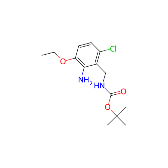 CCOc1ccc(Cl)c(CNC(=O)OC(C)(C)C)c1N